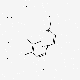 CN/C=C\N/C=C\C(C)=C(C)C